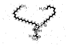 CC/C=C\C/C=C\C/C=C\CCCCCCCC(=O)OC[C@H](COP(=O)(O)OC[C@H](N)C(=O)O)OC(=O)CCCCCCCCCCC/C=C\C/C=C\CCCCC